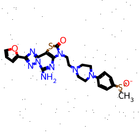 C[S+]([O-])c1ccc(N2CCN(CCn3c(=O)sc4c3nc(N)n3nc(-c5ccco5)nc43)CC2)cc1